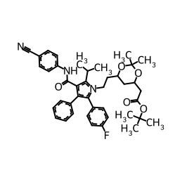 CC(C)c1c(C(=O)Nc2ccc(C#N)cc2)c(-c2ccccc2)c(-c2ccc(F)cc2)n1CCC1CC(CC(=O)OC(C)(C)C)OC(C)(C)O1